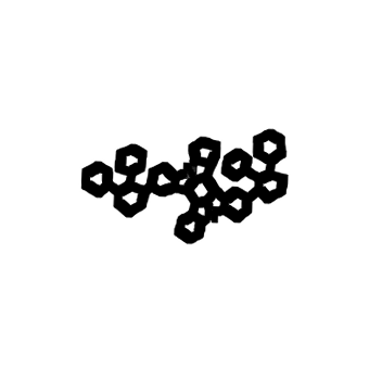 c1ccc(-c2cccc(-c3ccc4c(c3)c3c5c6ccccc6n6c7ccc(-c8cccc(-c9ccccc9)c8-c8ccccc8)cc7c(c7c8ccccc8n4c73)c56)c2-c2ccccc2)cc1